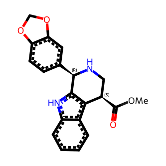 COC(=O)[C@@H]1CN[C@H](c2ccc3c(c2)OCO3)c2[nH]c3ccccc3c21